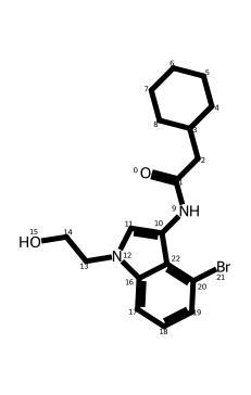 O=C(CC1CCCCC1)Nc1cn(CCO)c2cccc(Br)c12